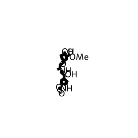 COC(=O)c1cc(OCC(C)NCC(O)c2ccc(NS(C)(=O)=O)cc2)ccc1O